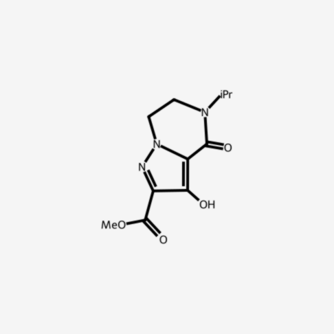 COC(=O)c1nn2c(c1O)C(=O)N(C(C)C)CC2